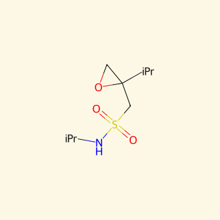 CC(C)NS(=O)(=O)CC1(C(C)C)CO1